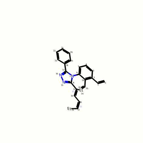 C=Cc1cccc(-n2c(/C(=C/C=C\CC)CC)nnc2-c2ccccc2)c1C=C